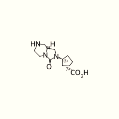 O=C(O)[C@H]1CC[C@H](N2C[C@@H]3CNCCN3C2=O)C1